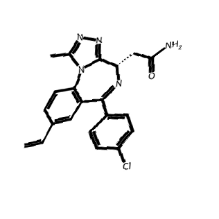 C=Cc1ccc2c(c1)C(c1ccc(Cl)cc1)=N[C@@H](CC(N)=O)c1nnc(C)n1-2